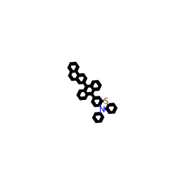 c1ccc(N2c3ccccc3Sc3cc(-c4c5ccccc5c(-c5ccc6c(ccc7ccccc76)c5)c5ccccc45)ccc32)cc1